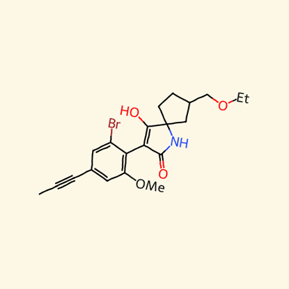 CC#Cc1cc(Br)c(C2=C(O)C3(CCC(COCC)C3)NC2=O)c(OC)c1